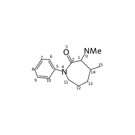 CNC1C(=O)N(c2ccccc2)CCCC1C